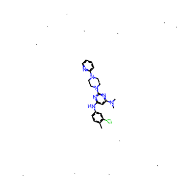 Cc1ccc(Nc2cc(N(C)C)nc(N3CCN(c4ccccn4)CC3)n2)cc1Cl